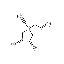 C#C[Si](CC=C)(CC=C)CC=C